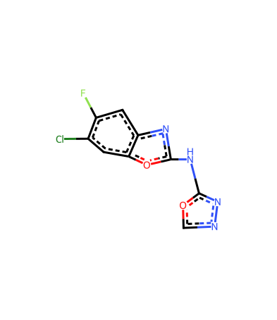 Fc1cc2nc(Nc3nnco3)oc2cc1Cl